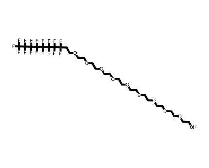 OCCOCCOCCOCCOCCOCCOCCOCCOCCOCCC(F)(F)C(F)(F)C(F)(F)C(F)(F)C(F)(F)C(F)(F)C(F)(F)C(F)(F)F